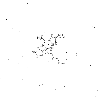 CCCCCSC1(C2CCCC2)N=C(N)c2sc(N)nc2N1